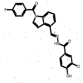 O=C(N/N=C/c1cccc2c1ccn2C(=O)c1ccc(F)cc1)c1ccc(O)c(Cl)c1